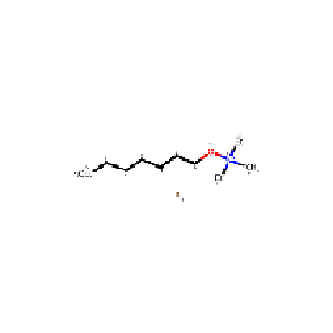 CCCCCCCCCCCCCCO[N+](C)(CC)CC.[Br-]